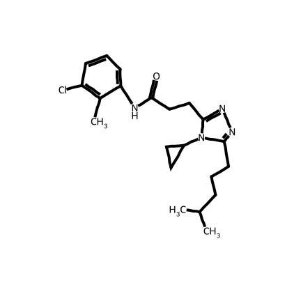 Cc1c(Cl)cccc1NC(=O)CCc1nnc(CCCC(C)C)n1C1CC1